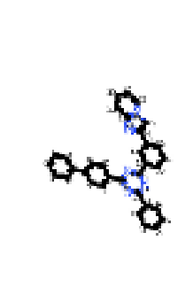 c1ccc(-c2ccc(-c3nc(-c4ccccc4)nc(-c4cccc(-c5cn6ccccc6n5)c4)n3)cc2)cc1